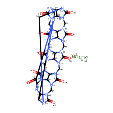 Cl.O.O=C1N2CN3C(=O)N4CN5C(=O)N6CN7C(=O)N8CN9C(=O)N%10CN1C1C2N2CN%11C(=O)N(CN%12C(=O)N(CN%13C(=O)N(CN%14C(=O)N(CN1C2=O)C%10C9%14)C8C7%13)C6C5%12)C4C3%11.[Cl-].[K+]